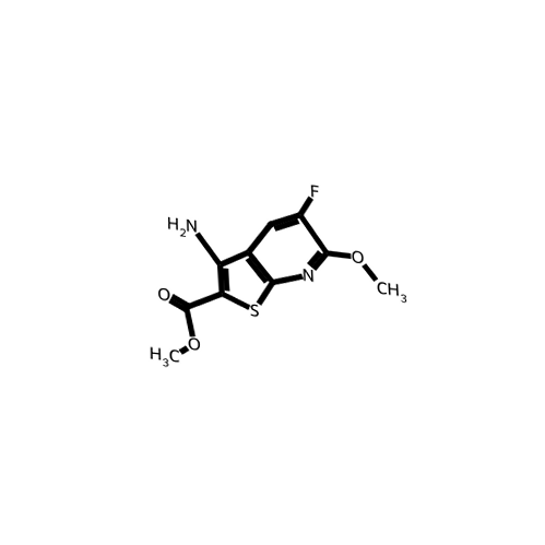 COC(=O)c1sc2nc(OC)c(F)cc2c1N